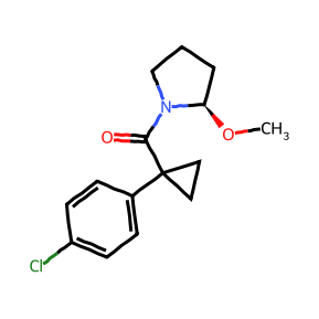 CO[C@@H]1CCCN1C(=O)C1(c2ccc(Cl)cc2)CC1